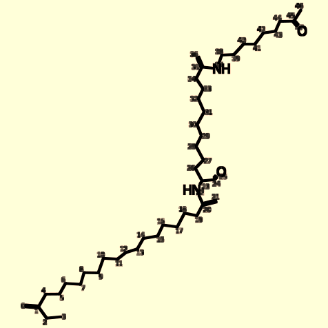 C=C(CC)CCCCCCCCCCCCCCCCC(=C)NC(C=O)CCCCCCCCCC(=C)NCCCCCCCC(C)=O